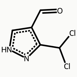 O=Cc1c[nH]nc1C(Cl)Cl